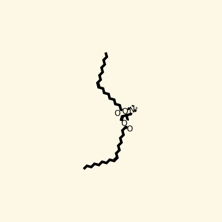 C=CC(COC(=O)CCCCCCC/C=C\CCCCCCCC)(C[N+](C)(C)C)OC(=O)CCCCCCC/C=C\CCCCCCCC